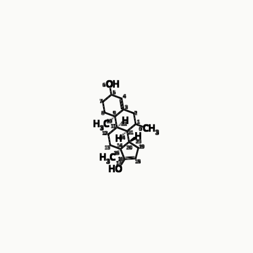 CC1CC2=CC(O)CC[C@]2(C)[C@@H]2CC[C@]3(C)C(O)=CC[C@H]3[C@H]12